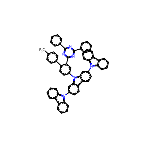 FC(F)(F)c1ccc(-c2ccc(-n3c4cc(-n5c6ccccc6c6ccccc65)ccc4c4ccc(-n5c6ccccc6c6ccccc65)cc43)cc2-c2nc(-c3ccccc3)nc(-c3ccccc3)n2)cc1